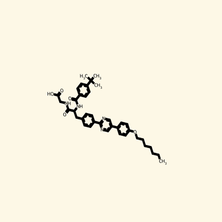 CCCCCCCOc1ccc(-c2cnc(-c3ccc(CC(NC(=O)c4ccc(C(C)(C)C)cc4)C(=O)NCC(=O)O)cc3)nc2)cc1